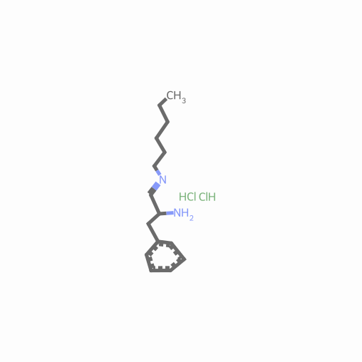 CCCCCCN=CC(N)Cc1ccccc1.Cl.Cl